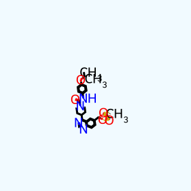 CC(C)Oc1ccc(NC(=O)N2CCC(c3ncnc4ccc(COS(C)(=O)=O)cc34)CC2)cc1